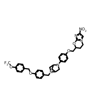 O=[N+]([O-])c1cn2c(n1)OC(COc1ccc(N3CC4CC3CN4Cc3ccc(OCc4ccc(OC(F)(F)F)cc4)cc3)cc1)CC2